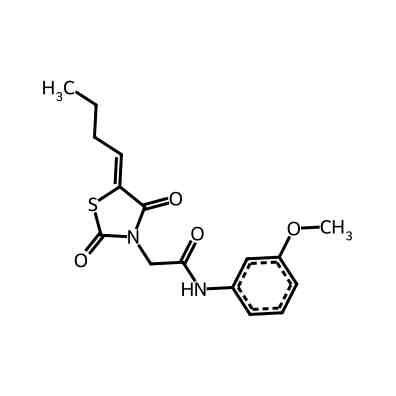 CCC/C=C1\SC(=O)N(CC(=O)Nc2cccc(OC)c2)C1=O